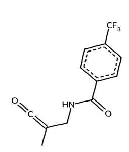 CC(=C=O)CNC(=O)c1ccc(C(F)(F)F)cc1